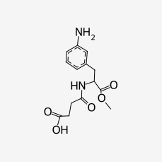 COC(=O)C(Cc1cccc(N)c1)NC(=O)CCC(=O)O